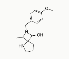 COc1ccc(CN2C(C)C3(CCCN3)C2O)cc1